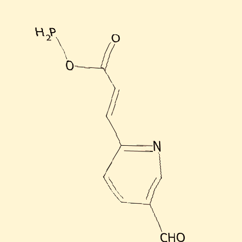 O=Cc1ccc(/C=C/C(=O)OP)nc1